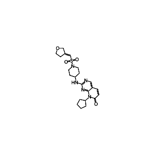 O=c1ccc2cnc(NC3CCN(S(=O)(=O)/C=C4\CCOC4)CC3)nc2n1C1CCCC1